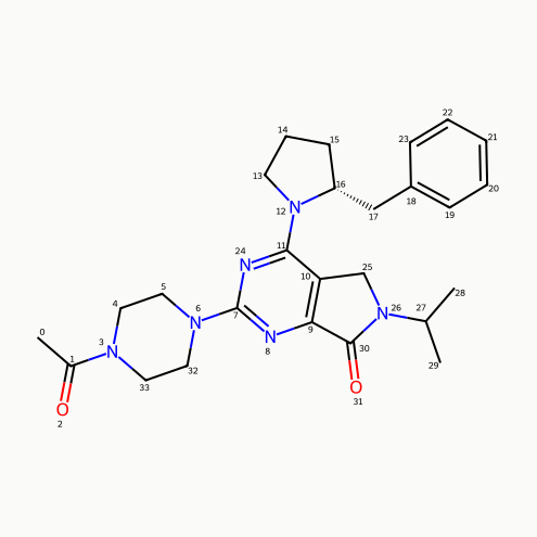 CC(=O)N1CCN(c2nc3c(c(N4CCC[C@@H]4Cc4ccccc4)n2)CN(C(C)C)C3=O)CC1